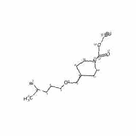 CC(Br)CCCOCC1CCN(C(=O)OC(C)(C)C)CC1